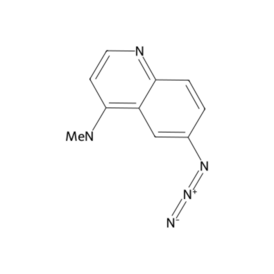 CNc1ccnc2ccc(N=[N+]=[N-])cc12